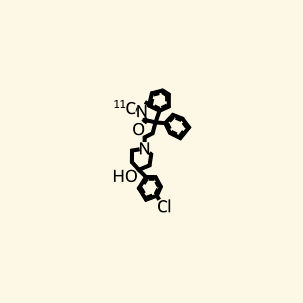 CN([11CH3])C(=O)C(CCN1CCC(O)(c2ccc(Cl)cc2)CC1)(c1ccccc1)c1ccccc1